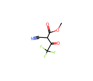 COC(=O)C(C#N)C(=O)C(F)(F)F